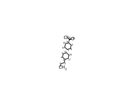 CCCC1CCC([C@H]2CC[C@H](C(=O)Cl)CC2)CC1